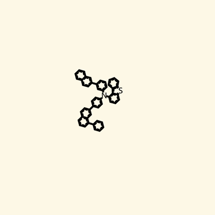 c1ccc(-c2cccc3ccc(-c4ccc(N(c5cccc(-c6ccc7ccccc7c6)c5)c5cccc6sc7ccccc7c56)cc4)cc23)cc1